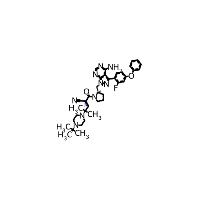 CC(C)(C)N1CCN(C(C)(C)/C=C(\C#N)C(=O)N2CCC[C@@H]2Cn2nc(-c3ccc(Oc4ccccc4)cc3F)c3c(N)ncnc32)CC1